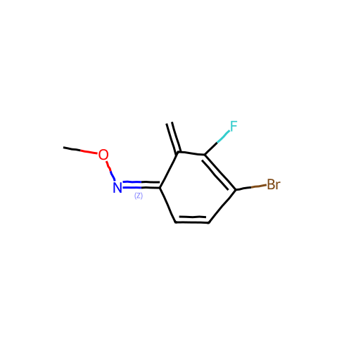 C=C1C(F)=C(Br)C=C/C1=N/OC